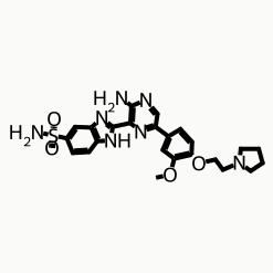 COc1cc(-c2cnc(N)c(-c3nc4cc(S(N)(=O)=O)ccc4[nH]3)n2)ccc1OCCN1CCCC1